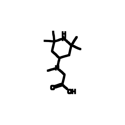 CN(CC(=O)O)C1CC(C)(C)NC(C)(C)C1